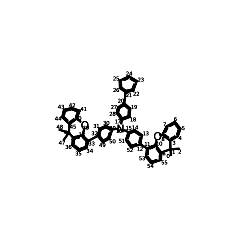 CC1(C)c2ccccc2Oc2c(-c3ccc(N(c4ccc(-c5ccccc5)cc4)c4ccc(-c5cccc6c5Oc5ccccc5C6(C)C)cc4)cc3)cccc21